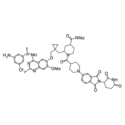 CNC(=O)C1CCN(C(=O)C2CCN(c3ccc4c(c3)C(=O)N(C3CCC(=O)NC3=O)C4=O)CC2)C(CC2(COc3cc4c(N[C@H](C)c5cc(N)cc(C(F)(F)F)c5)nc(C)nc4cc3OC)CC2)C1